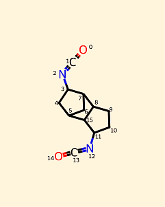 O=C=NC1CC2CC1C1CCC(N=C=O)C21